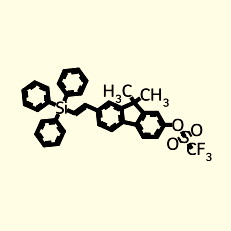 CC1(C)c2cc(/C=C/[Si](c3ccccc3)(c3ccccc3)c3ccccc3)ccc2-c2ccc(OS(=O)(=O)C(F)(F)F)cc21